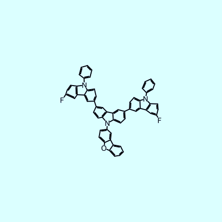 Fc1ccc2c(c1)c1cc(-c3ccc4c(c3)c3cc(-c5ccc6c(c5)c5cc(F)ccc5n6-c5ccccc5)ccc3n4-c3ccc4oc5ccccc5c4c3)ccc1n2-c1ccccc1